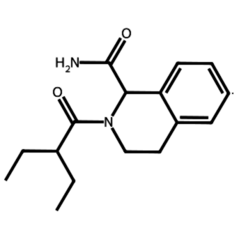 CCC(CC)C(=O)N1CCc2c[c]ccc2C1C(N)=O